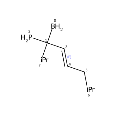 BC(P)(/C=C/CC(C)C)C(C)C